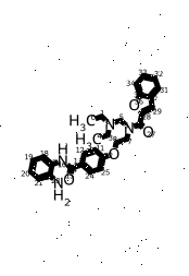 CCN(CC)CN(CCOc1ccc(C(=O)Nc2ccccc2N)cc1)C(=O)c1cc2ccccc2o1